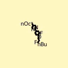 CCCCCCCCc1cnc(-c2ccc(OCCC(F)CCCC)c(F)c2)nc1